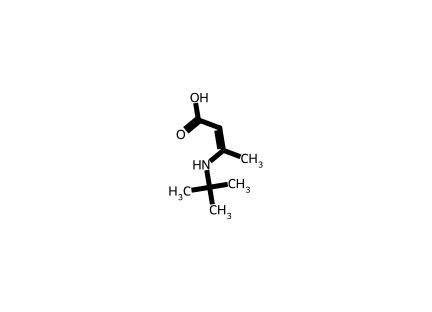 CC(=CC(=O)O)NC(C)(C)C